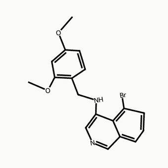 COc1ccc(CNc2cncc3cccc(Br)c23)c(OC)c1